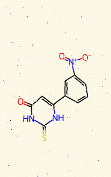 O=c1cc(-c2cccc([N+](=O)[O-])c2)[nH]c(=S)[nH]1